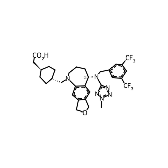 Cn1nnc(N(Cc2cc(C(F)(F)F)cc(C(F)(F)F)c2)[C@H]2CCCN(C[C@H]3CC[C@H](CC(=O)O)CC3)c3cc4c(cc32)COC4)n1